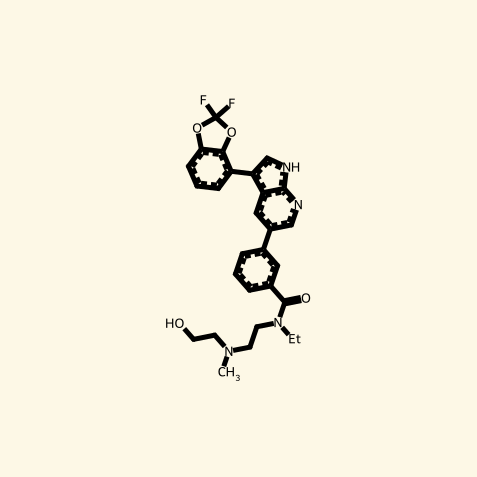 CCN(CCN(C)CCO)C(=O)c1cccc(-c2cnc3[nH]cc(-c4cccc5c4OC(F)(F)O5)c3c2)c1